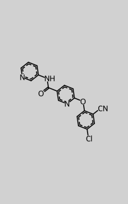 N#Cc1cc(Cl)ccc1Oc1ccc(C(=O)Nc2cccnc2)cn1